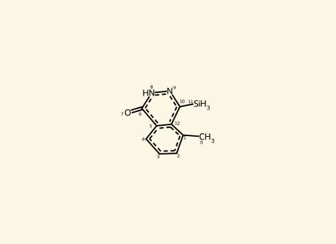 Cc1cccc2c(=O)[nH]nc([SiH3])c12